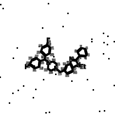 CCn1c(-c2ccccc2)nc2cc(CN3CCN(C(c4ccc(F)cc4)c4ccc(F)cc4)CC3)ccc21